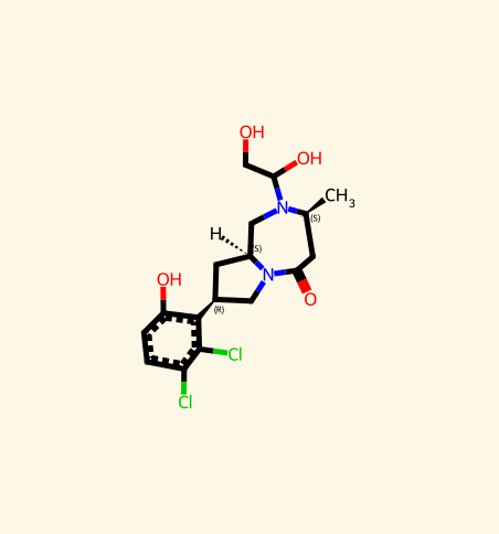 C[C@H]1CC(=O)N2C[C@@H](c3c(O)ccc(Cl)c3Cl)C[C@H]2CN1C(O)CO